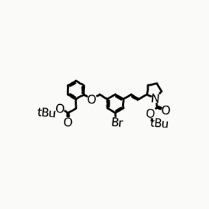 CC(C)(C)OC(=O)Cc1ccccc1OCc1cc(Br)cc(C=CC2CCCN2C(=O)OC(C)(C)C)c1